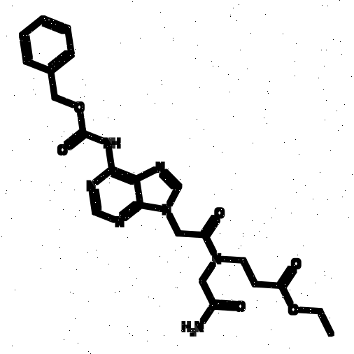 CCOC(=O)CCN(CC(N)=O)C(=O)Cn1cnc2c(NC(=O)OCc3ccccc3)ncnc21